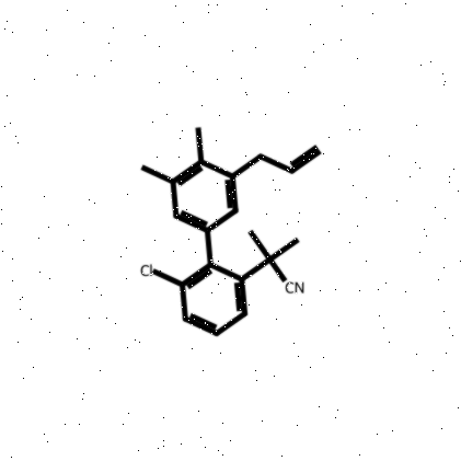 C=CCc1cc(-c2c(Cl)cccc2C(C)(C)C#N)cc(C)c1C